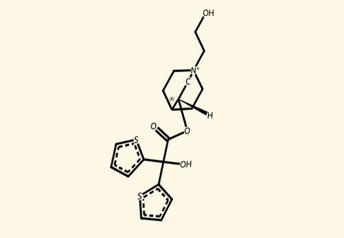 O=C(O[C@H]1C[N+]2(CCO)CCC1CC2)C(O)(c1cccs1)c1cccs1